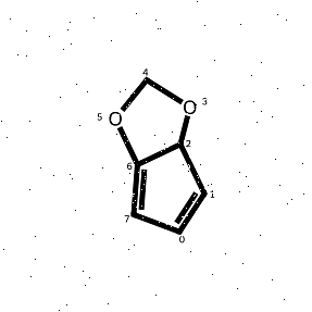 C1=CC2OCOC2=C1